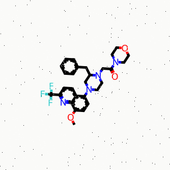 COc1ccc(N2CCN(CC(=O)N3CCOCC3)C(Cc3ccccc3)C2)c2ccc(C(F)(F)F)nc12